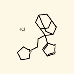 Cl.c1csc(C2(CCN3CCCC3)C3CC4CC(C3)CC2C4)c1